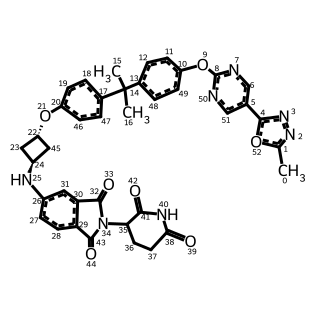 Cc1nnc(-c2cnc(Oc3ccc(C(C)(C)c4ccc(O[C@H]5C[C@H](Nc6ccc7c(c6)C(=O)N(C6CCC(=O)NC6=O)C7=O)C5)cc4)cc3)nc2)o1